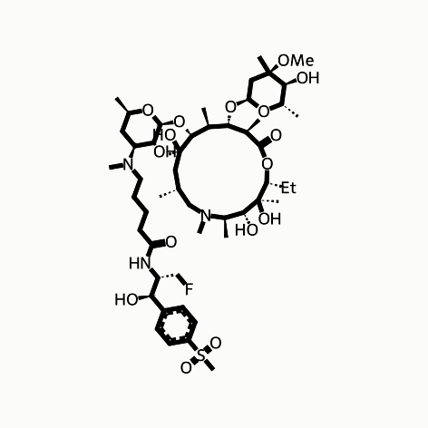 CC[C@H]1OC(=O)[C@H](C)[C@@H](O[C@H]2C[C@@](C)(OC)[C@@H](O)[C@H](C)O2)[C@H](C)[C@@H](O[C@@H]2O[C@H](C)C[C@H](N(C)CCCCC(=O)N[C@H](CF)[C@H](O)c3ccc(S(C)(=O)=O)cc3)[C@H]2O)[C@](C)(O)C[C@@H](C)CN(C)[C@H](C)[C@@H](O)[C@]1(C)O